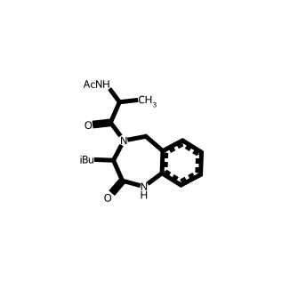 CCC(C)C1C(=O)Nc2ccccc2CN1C(=O)C(C)NC(C)=O